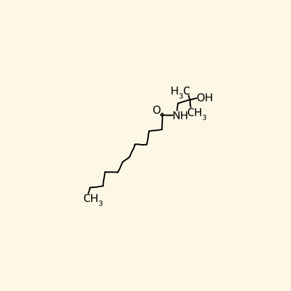 CCCCCCCCCCCC(=O)NCC(C)(C)O